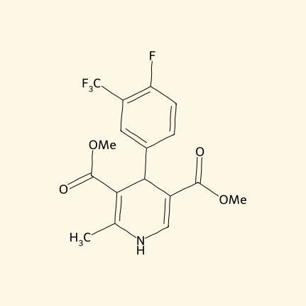 COC(=O)C1=CNC(C)=C(C(=O)OC)C1c1ccc(F)c(C(F)(F)F)c1